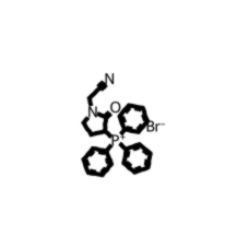 N#CCN1CCC([P+](c2ccccc2)(c2ccccc2)c2ccccc2)C1=O.[Br-]